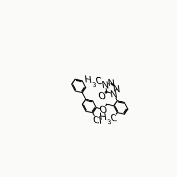 Cc1cccc(-n2nnn(C)c2=O)c1COc1cc(-c2ccccc2)ccc1Cl